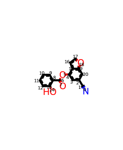 N#Cc1cc(OC(=O)c2ccccc2O)c2ccoc2c1